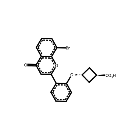 O=c1cc(-c2ccccc2O[C@H]2C[C@H](C(=O)O)C2)oc2c(Br)cccc12